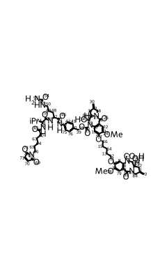 C=C1C[C@H]2C(O)N(C(=O)O)c3cc(OCCCCCOc4cc5c(cc4OC)C(=O)N4CC(=C)C[C@H]4C(O)N5C(=O)OCc4ccc(NC(=O)C(CCCNC(N)=O)NC(=O)C(NC(=O)CCCCCN5C(=O)C=CC5=O)C(C)C)cc4)c(OC)cc3C(=O)N2C1